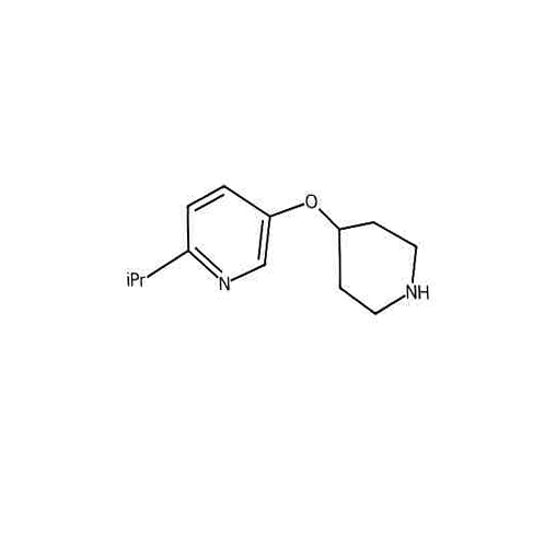 CC(C)c1ccc(OC2CCNCC2)cn1